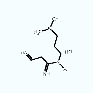 CCN(CCCN(C)C)C(=N)CC=N.Cl